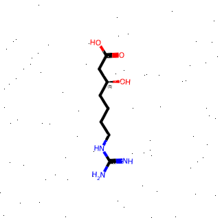 N=C(N)NCCCC[C@H](O)CC(=O)O